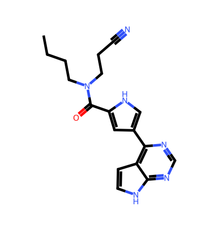 CCCCN(CCC#N)C(=O)c1cc(-c2ncnc3[nH]ccc23)c[nH]1